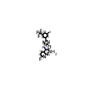 Cc1cc(-c2ncn(/C=C(\C(N)=O)c3ccc(F)nc3F)n2)cc(C(F)(F)F)c1